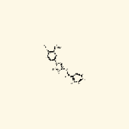 COc1cc(-n2cc(COc3ncccn3)nn2)ccc1F